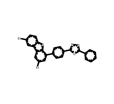 CCc1ccc2sc3c(-c4ccc(-c5nnc(-c6ccccc6)o5)cc4)cc(CC)cc3c2c1